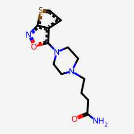 NC(=O)CCCN1CCN(c2onc3sccc23)CC1